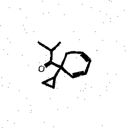 CC(C)C(=O)C1(C2CC2)C=CC=CC1